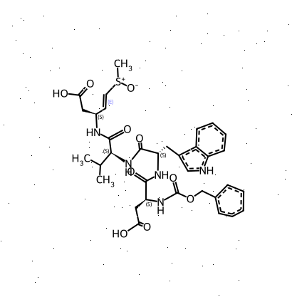 CC(C)[C@H](NC(=O)[C@H](Cc1c[nH]c2ccccc12)NC(=O)[C@H](CC(=O)O)NC(=O)OCc1ccccc1)C(=O)N[C@H](/C=C/[S+](C)[O-])CC(=O)O